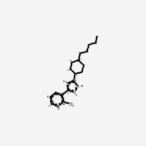 CCCCCC1CCC(c2noc(-c3cccnc3Cl)n2)CC1